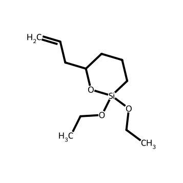 C=CCC1CCC[Si](OCC)(OCC)O1